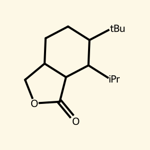 CC(C)C1C2C(=O)OCC2CCC1C(C)(C)C